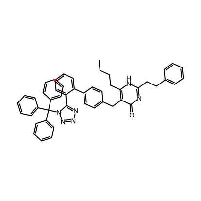 CCCCc1[nH]c(CCc2ccccc2)nc(=O)c1Cc1ccc(-c2ccccc2-c2nnnn2C(c2ccccc2)(c2ccccc2)c2ccccc2)cc1